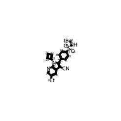 CCc1cnc2c(c1)c(C#N)c(-c1ccc(S(=O)(=O)NC(C)(C)C)cc1)n2C1=CC=C1